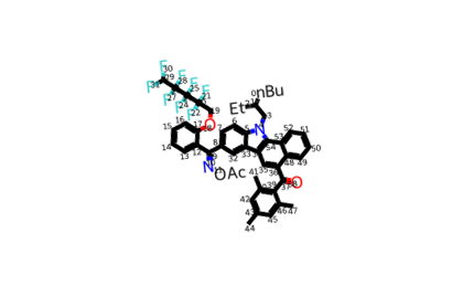 CCCCC(CC)Cn1c2ccc(/C(=N\OC(C)=O)c3ccccc3OCC(F)(F)C(F)(F)C(F)(F)C(F)F)cc2c2cc(C(=O)c3c(C)cc(C)cc3C)c3ccccc3c21